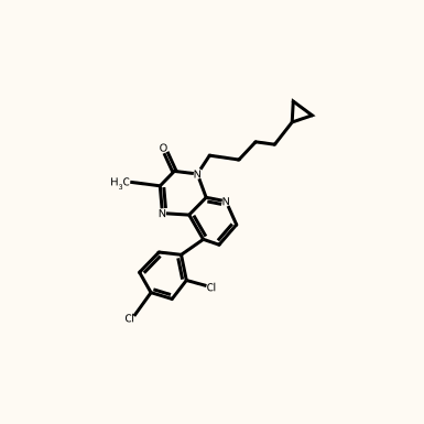 Cc1nc2c(-c3ccc(Cl)cc3Cl)ccnc2n(CCCCC2CC2)c1=O